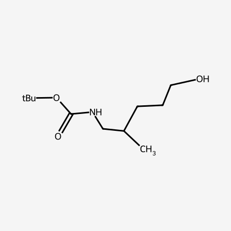 CC(CCCO)CNC(=O)OC(C)(C)C